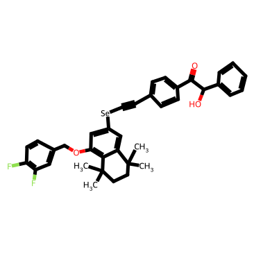 CC1(C)CCC(C)(C)c2c(OCc3ccc(F)c(F)c3)cc([Se]C#Cc3ccc(C(=O)C(O)c4ccccc4)cc3)cc21